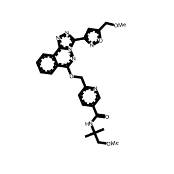 COCc1cc(-c2nnc3c4ccccc4c(OCc4ccc(C(=O)NC(C)(C)COC)cn4)nn23)no1